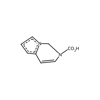 O=C(O)N1C=Cc2cccn2C1